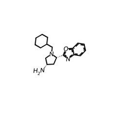 N[C@H]1C[C@@H](c2nc3ccccc3o2)N(CC2CCCCC2)C1